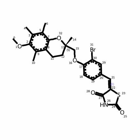 COc1c(C)c(C)c2c(c1C)CC[C@@](C)(COc1ccc(/C=C3/SC(=O)NC3=O)cc1Br)O2